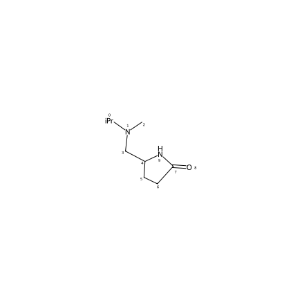 CC(C)N(C)CC1CCC(=O)N1